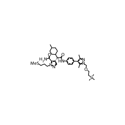 CSCCCn1ncc([C@@H](C(=O)Nc2ccc(-c3c(C)nn(COCC[Si](C)(C)C)c3C)cc2)C2CCC(C)CC2)c1C(N)=O